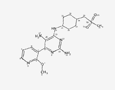 COc1ncccc1-c1nc(N)nc(NC2CCC(CS(C)(=O)=O)CC2)c1N